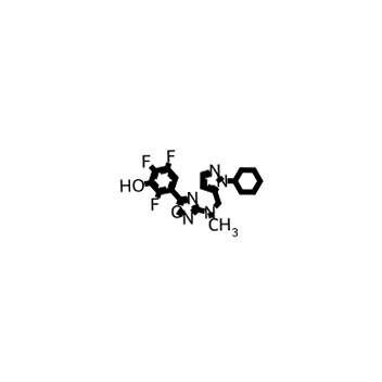 CN(Cc1ccnn1C1CCCCC1)c1noc(-c2cc(F)c(F)c(O)c2F)n1